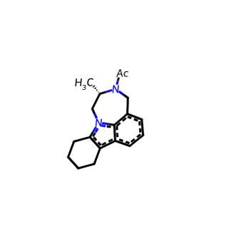 CC(=O)N1Cc2cccc3c4c(n(c23)C[C@@H]1C)CCCC4